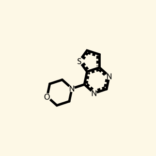 c1nc(N2CCOCC2)c2sccc2n1